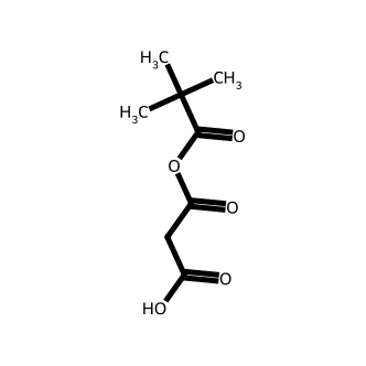 CC(C)(C)C(=O)OC(=O)CC(=O)O